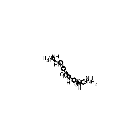 N=C(N)NCC[C@@H]1CCC[C@@H](c2ccc(-n3cc4cc(-c5ccc(S(=O)(=O)NC6CCN(C(=N)N)CC6)cc5)[nH]c4nc3=O)cc2)N1